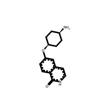 N[C@H]1CC[C@@H](Oc2ccc3c(=O)[nH]ccc3c2)CC1